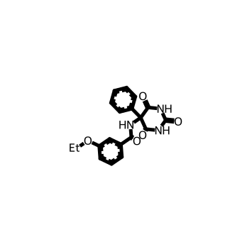 CCOc1cccc(C(=O)NC2(c3ccccc3)C(=O)NC(=O)NC2=O)c1